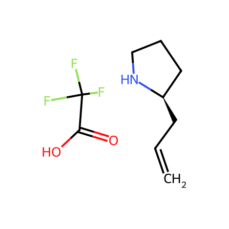 C=CC[C@@H]1CCCN1.O=C(O)C(F)(F)F